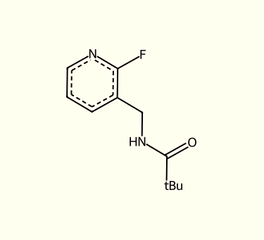 CC(C)(C)C(=O)NCc1cccnc1F